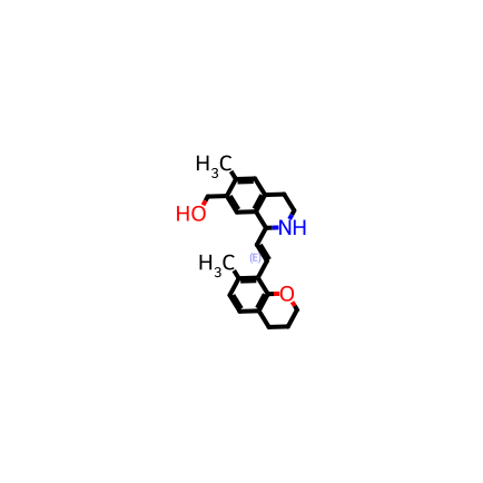 Cc1cc2c(cc1CO)C(/C=C/c1c(C)ccc3c1OCCC3)NCC2